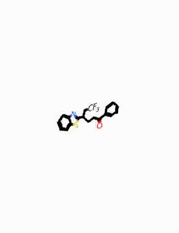 O=C(CCC(CC(F)(F)F)c1nc2ccccc2s1)c1ccccc1